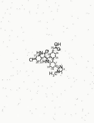 Cn1ccnc1-c1ccc(NC(=C2C(=O)Nc3cc(Cl)ccc32)c2cccc(CC(=O)O)c2)cc1